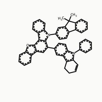 CC1(C)c2ccccc2-c2ccc(-n3c4ccccc4c4c5oc6ccccc6c5cc(-c5ccc6c(c5)c5c(n6-c6ccccc6)C=CCC5)c43)cc21